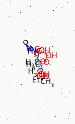 CCC(O)C(C)C1OC1CC(C)(O)/C=C/C=C(\C)C1OC(=O)CC(O)CCC(C)(O)C(OC(=O)N2CC3CC2CN3Cc2ccccc2)/C=C/C1C